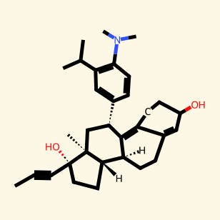 CC#C[C@]1(O)CC[C@H]2[C@@H]3CCC4=CC(O)CCC4=C3[C@@H](c3ccc(N(C)C)c(C(C)C)c3)C[C@@]21C